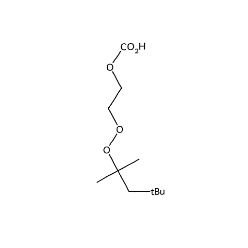 CC(C)(C)CC(C)(C)OOCCOC(=O)O